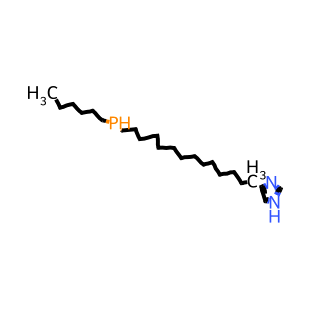 CCCCCCCCCCCCCCPCCCCCC.c1c[nH]cn1